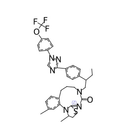 CCC(CN1CCCc2ccc(C)cc2N2/C(=N/C1=O)SCCC2C)c1ccc(-c2ncn(-c3ccc(OC(F)(F)F)cc3)n2)cc1